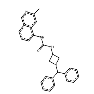 Cc1cc2c(NC(=O)NC3CN(C(c4ccccc4)c4ccccc4)C3)cccc2cn1